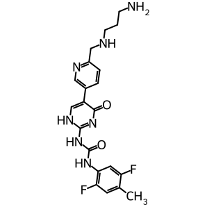 Cc1cc(F)c(NC(=O)Nc2nc(=O)c(-c3ccc(CNCCCN)nc3)c[nH]2)cc1F